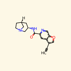 C#Cc1coc2cnc(C(=O)N[C@@H]3C[C@H]4CCN(C4)C3)cc12